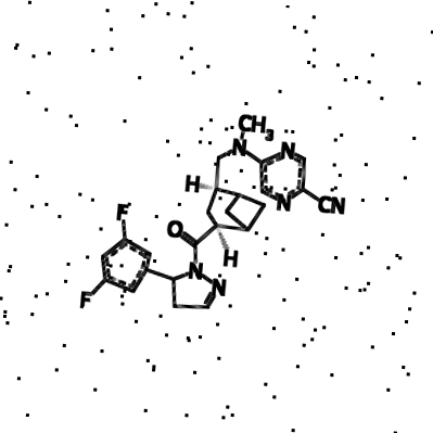 CN(C[C@@H]1C[C@H](C(=O)N2N=CCC2c2cc(F)cc(F)c2)C2CC1C2)c1cnc(C#N)cn1